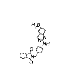 Bc1ccc2nc(Nc3ccc(CN4C(=O)c5ccccc5C4=O)cc3)ncc2c1